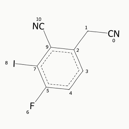 N#CCc1ccc(F)c(I)c1C#N